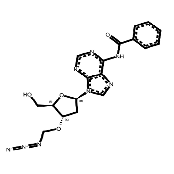 [N-]=[N+]=NCO[C@H]1C[C@H](n2cnc3c(NC(=O)c4ccccc4)ncnc32)O[C@@H]1CO